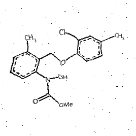 COC(=O)N(O)c1cccc(C)c1COc1ccc(C)cc1Cl